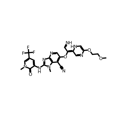 COCCOC1=CN/C(=C(\C=N)Oc2cnc3nc(Nc4cc(C(F)(F)F)cn(C)c4=O)n(C)c3c2C#N)C=N1